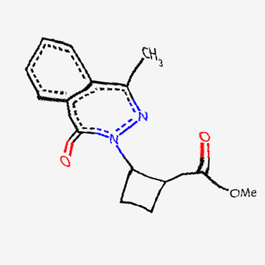 COC(=O)C1CCC1n1nc(C)c2ccccc2c1=O